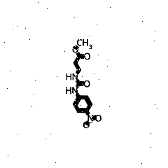 COC(=O)CCNC(=O)Nc1ccc([N+](=O)[O-])cc1